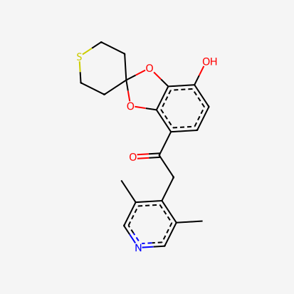 Cc1cncc(C)c1CC(=O)c1ccc(O)c2c1OC1(CCSCC1)O2